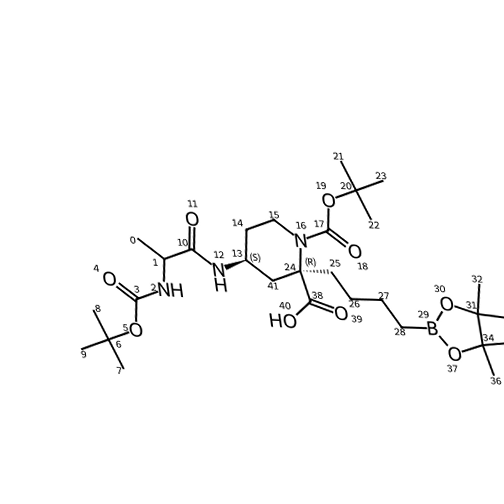 CC(NC(=O)OC(C)(C)C)C(=O)N[C@H]1CCN(C(=O)OC(C)(C)C)[C@@](CCCCB2OC(C)(C)C(C)(C)O2)(C(=O)O)C1